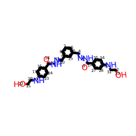 O=C(N/N=C/c1cccc(/C=N/NC(=O)c2ccc(NCCO)cc2)c1)c1ccc(NCCO)cc1